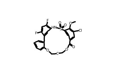 COc1c(Cl)cc2cc1S(=O)(=O)Nc1cc(c(F)cc1F)-c1ccccc1OCCCOC2=O